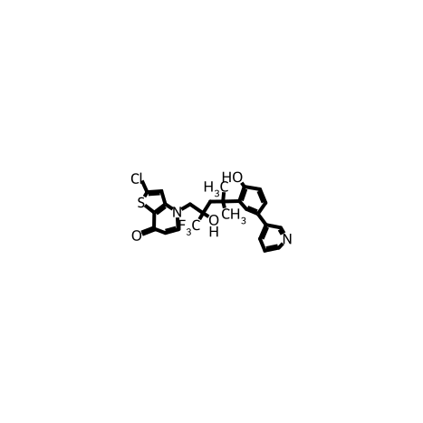 CC(C)(CC(O)(Cn1ccc(=O)c2sc(Cl)cc21)C(F)(F)F)c1cc(-c2cccnc2)ccc1O